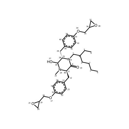 CCCCC(CC)CN1C(=O)[C@@H](Cc2ccc(OCC3CO3)cc2)N(C)C(O)[C@@H]1Cc1ccc(OCC2CO2)cc1